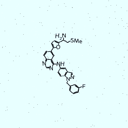 CSCC(N)c1ccc(-c2ccc3ncnc(Nc4ccc5c(cnn5Cc5cccc(F)c5)c4)c3c2)o1